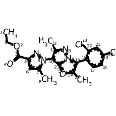 CCOC(=O)c1cc(C)n(-c2c(C)nn3c(-c4ccc(Cl)cc4Cl)c(C)oc23)n1